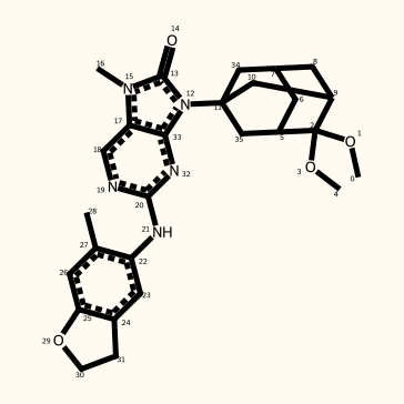 COC1(OC)C2CC3CC1CC(n1c(=O)n(C)c4cnc(Nc5cc6c(cc5C)OCC6)nc41)(C3)C2